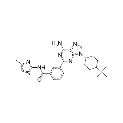 Cc1csc(NC(=O)c2cccc(-c3nc(N)c4ncn(C5CCC(C(C)(C)C)CC5)c4n3)c2)n1